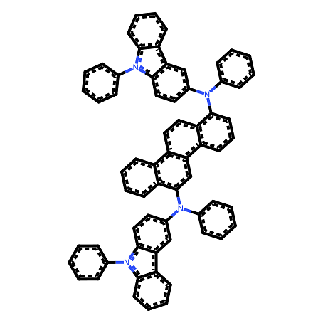 c1ccc(N(c2ccc3c(c2)c2ccccc2n3-c2ccccc2)c2cc3c4cccc(N(c5ccccc5)c5ccc6c(c5)c5ccccc5n6-c5ccccc5)c4ccc3c3ccccc23)cc1